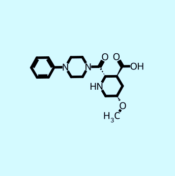 CO[C@@H]1CN[C@H](C(=O)N2CCN(c3ccccc3)CC2)[C@@H](C(=O)O)C1